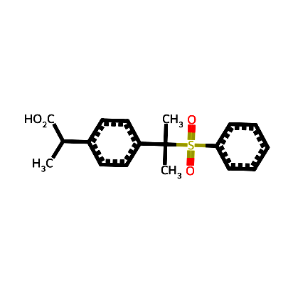 CC(C(=O)O)c1ccc(C(C)(C)S(=O)(=O)c2ccccc2)cc1